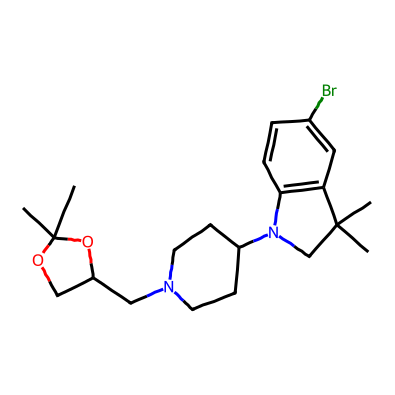 CC1(C)OCC(CN2CCC(N3CC(C)(C)c4cc(Br)ccc43)CC2)O1